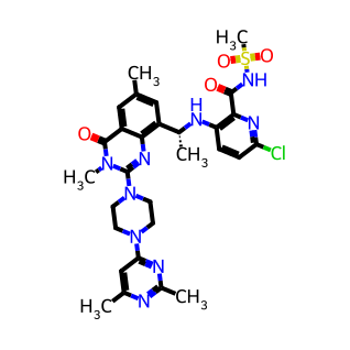 Cc1cc([C@@H](C)Nc2ccc(Cl)nc2C(=O)NS(C)(=O)=O)c2nc(N3CCN(c4cc(C)nc(C)n4)CC3)n(C)c(=O)c2c1